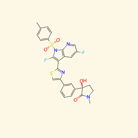 Cc1ccc(S(=O)(=O)n2c(F)c(-c3nc(-c4cccc([C@]5(O)CCN(C)C5=O)c4)cs3)c3cc(F)cnc32)cc1